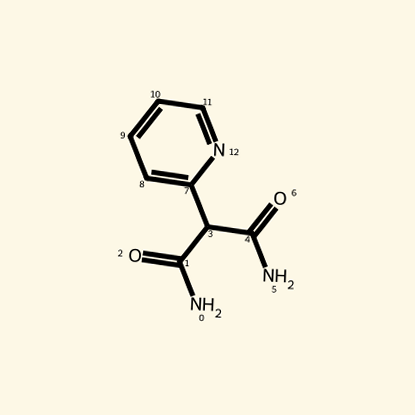 NC(=O)C(C(N)=O)c1ccccn1